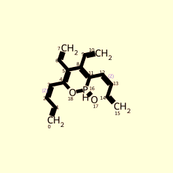 C=C/C=C\C1=C(C=C)C(C=C)=C(/C=C\C=C)[PH](=O)O1